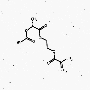 C=C(C)C(=O)OCCOC(=O)C(C)OC(=O)C(C)C